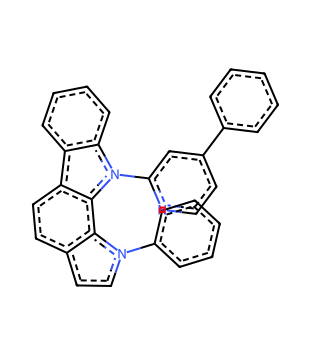 c1ccc(-c2ccnc(-n3c4ccccc4c4ccc5ccn(-c6ccccc6)c5c43)c2)cc1